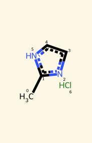 Cc1ncc[nH]1.Cl